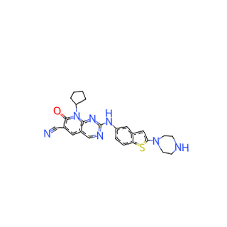 N#Cc1cc2cnc(Nc3ccc4sc(N5CCNCC5)cc4c3)nc2n(C2CCCC2)c1=O